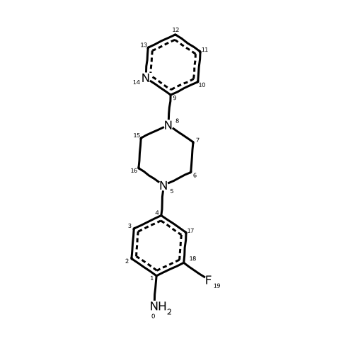 Nc1ccc(N2CCN(c3ccccn3)CC2)cc1F